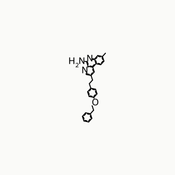 Cc1ccc2c(c1)nc(N)c1ncc(CCc3ccc(OCCc4ccccc4)cc3)cc12